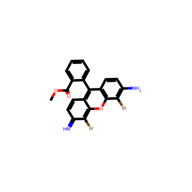 COC(=O)c1ccccc1-c1c2ccc(=N)c(Br)c-2oc2c(Br)c(N)ccc12